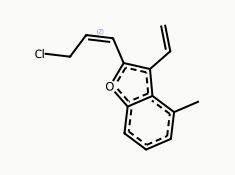 C=Cc1c(/C=C\CCl)oc2cccc(C)c12